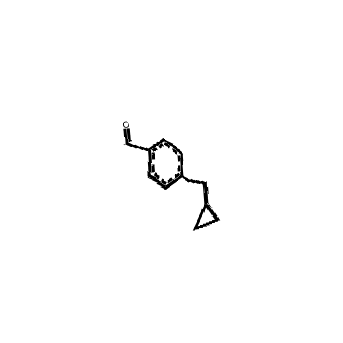 O=[C]c1ccc(CC2CC2)cc1